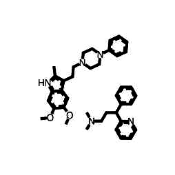 CN(C)CCC(c1ccccc1)c1ccccn1.COc1cc2[nH]c(C)c(CCN3CCN(c4ccccc4)CC3)c2cc1OC